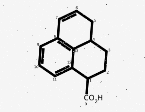 O=C(O)C1CCC2CC=Cc3cccc1c32